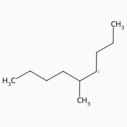 CCC[C]C(C)CCCC